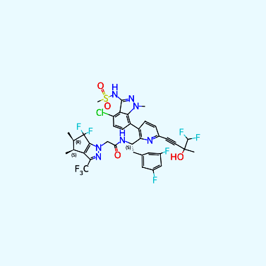 C[C@@H]1c2c(C(F)(F)F)nn(CC(=O)N[C@@H](Cc3cc(F)cc(F)c3)c3nc(C#CC(C)(O)C(F)F)ccc3-c3ccc(Cl)c4c(NS(C)(=O)=O)nn(C)c34)c2C(F)(F)[C@@H]1C